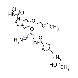 CCOCCOc1cc2c(ccn2C(=O)NC)cc1OC(/C=C/N)=C/C=N\C(=O)c1ccc(C2CN(CC(C)O)C2)cc1